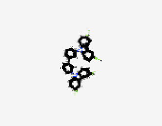 Fc1ccc2c(c1)c1cc(F)ccc1n2-c1cccc(-c2cccc(-n3c4ccc(F)cc4c4cc(F)ccc43)c2)c1